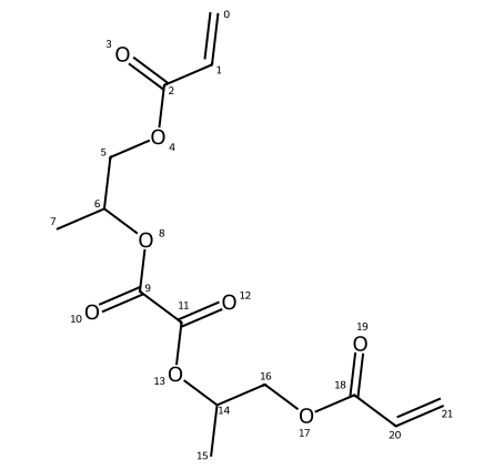 C=CC(=O)OCC(C)OC(=O)C(=O)OC(C)COC(=O)C=C